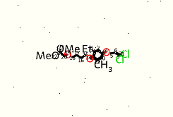 CCc1cc(OCC=C(Cl)Cl)cc(C)c1OCCCCOCC(OC)OC